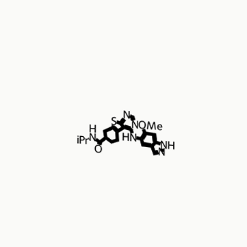 COc1cc2[nH]ncc2cc1Nc1ncnc2sc3c(c12)CCC(C(=O)NC(C)C)C3